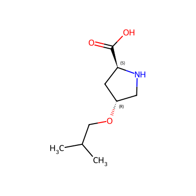 CC(C)CO[C@H]1CN[C@H](C(=O)O)C1